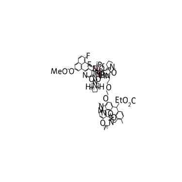 CCOC(=O)CC(c1ccc(C)c(CN2C[C@@H](C)Oc3ccccc3S2(=O)=O)c1)c1cc(OCCOCCNC(=O)[C@]2(COc3nc(N4C[C@H]5CC[C@@H](C4)N5C(=O)OC(C)(C)C)c4cnc(-c5cc(OCOC)cc6ccc(F)c(C#C[Si](C(C)C)(C(C)C)C(C)C)c56)c(F)c4n3)CCCN2C)c2c(c1)nnn2C